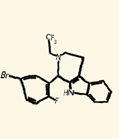 Fc1ccc(Br)cc1C1c2[nH]c3ccccc3c2CCN1CC(F)(F)F